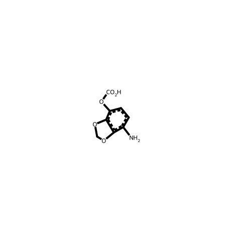 Nc1ccc(OC(=O)O)c2c1OCO2